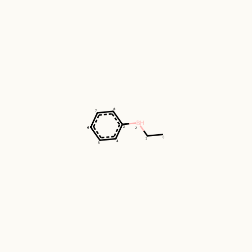 CCBc1ccccc1